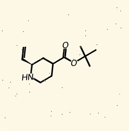 C=C[C@H]1CC(C(=O)OC(C)(C)C)CCN1